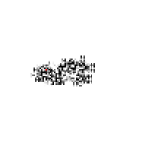 CC(CCC(OC1OC(CO)C(O)C(O)C1OC1OC(CO)C(O)C(O)C1O)C(C)(C)O)C1CCC2(C)C3CC=C4C(CCC(OC5OC(COC6OC(CO)C(O)C(O)C6O)C(O)C(O)C5O)C4(C)C)C3(C)C(O)CC12C